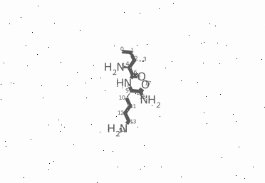 CC[C@H](C)[C@H](N)C(=O)N[C@@H](CCCCN)C(N)=O